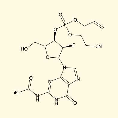 C=CCOP(=O)(OCCC#N)O[C@@H]1C(CO)OC(n2cnc3c(=O)[nH]c(NC(=O)C(C)C)nc32)[C@@H]1F